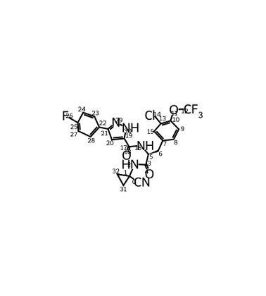 N#CC1(NC(=O)[C@H](Cc2ccc(OC(F)(F)F)c(Cl)c2)NC(=O)c2cc(-c3ccc(F)cc3)n[nH]2)CC1